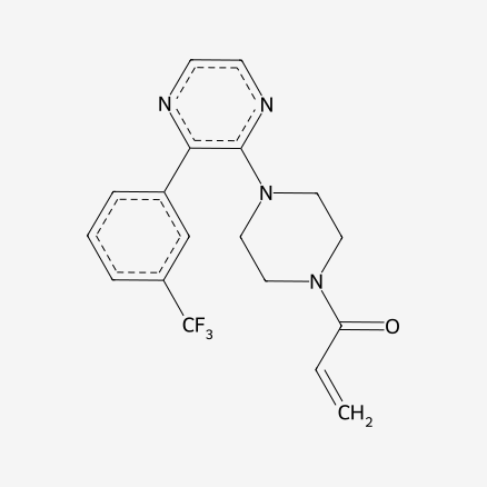 C=CC(=O)N1CCN(c2nccnc2-c2cccc(C(F)(F)F)c2)CC1